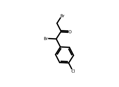 O=C(CBr)C(Br)c1ccc(Cl)cc1